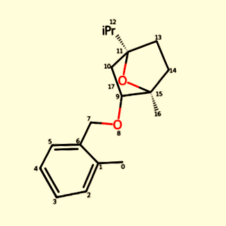 Cc1ccccc1COC1C[C@@]2(C(C)C)CC[C@]1(C)O2